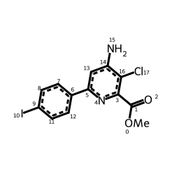 COC(=O)c1nc(-c2ccc(I)cc2)cc(N)c1Cl